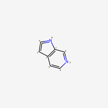 C1=Cc2ccncc2N=1